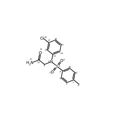 Cc1ccc(S(=O)(=O)N(CC(N)=O)c2cccc(Cl)c2)cc1